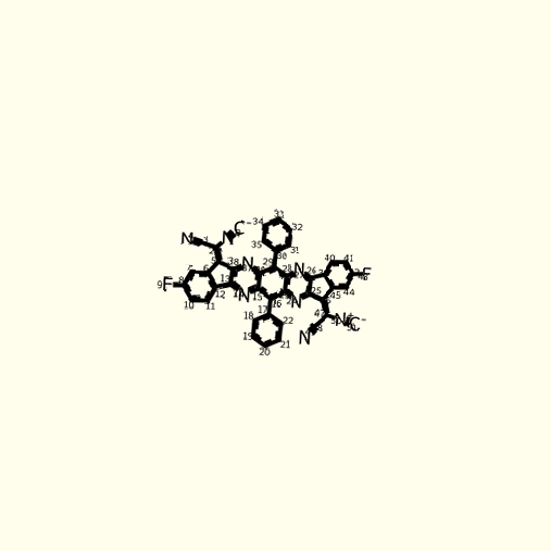 [C-]#[N+]/C(C#N)=C1/c2cc(F)ccc2-c2nc3c(-c4ccccc4)c4nc5c(nc4c(-c4ccccc4)c3nc21)-c1ccc(F)cc1/C5=C(/C#N)[N+]#[C-]